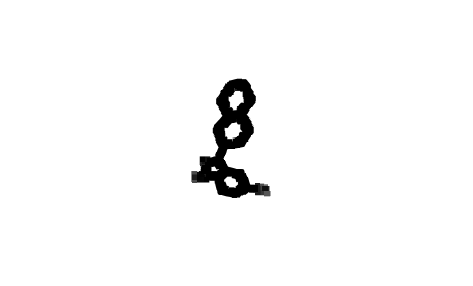 CCc1ccc2[nH]nc(-c3ccc4ccccc4c3)c2c1